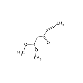 C/C=C/C(=O)CC(OC)OC